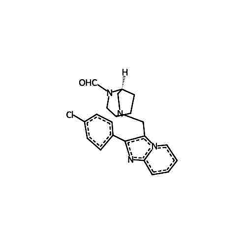 O=CN1CC2CC[C@H]1CN2Cc1c(-c2ccc(Cl)cc2)nc2ccccn12